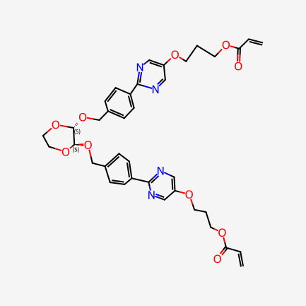 C=CC(=O)OCCCOc1cnc(-c2ccc(CO[C@H]3OCCO[C@@H]3OCc3ccc(-c4ncc(OCCCOC(=O)C=C)cn4)cc3)cc2)nc1